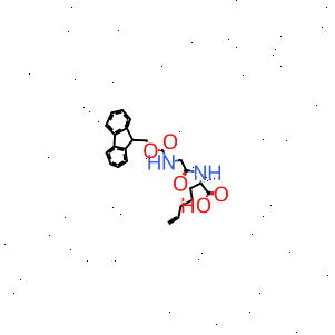 C=CCCC[C@@](C)(NC(=O)CNC(=O)OCC1c2ccccc2-c2ccccc21)C(=O)O